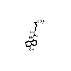 CC(=CCCNC(=O)Nc1cccc2c(O)cccc12)C(=O)O